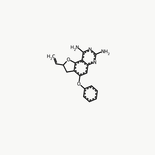 C=CC1Cc2c(Oc3ccccc3)cc3nc(N)nc(N)c3c2O1